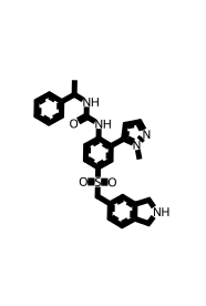 CC(NC(=O)Nc1ccc(S(=O)(=O)Cc2ccc3c(c2)CNC3)cc1-c1ccnn1C)c1ccccc1